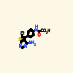 CCc1sc2ncnc(N)c2c1-c1ccc(NC(=O)C(=O)O)cc1